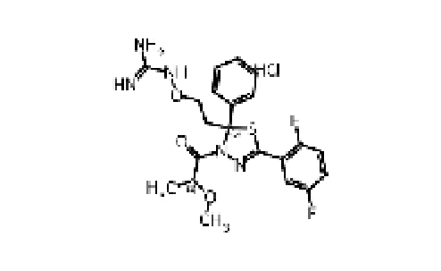 CO[C@@H](C)C(=O)N1N=C(c2cc(F)ccc2F)S[C@@]1(CCONC(=N)N)c1ccccc1.Cl